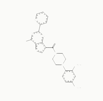 COc1ccc(N2CCN(C(=O)c3csc4c(O)nc(-c5ccccn5)nc34)CC2)c(OC)c1